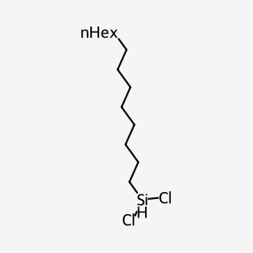 CCCCCCCCCCCCCC[SiH](Cl)Cl